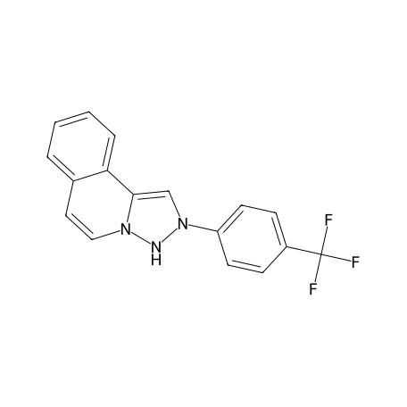 FC(F)(F)c1ccc(N2C=C3c4ccccc4C=CN3N2)cc1